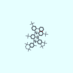 Cc1cc2c(cc1N1c3cc4c(cc3B3c5cc(C(C)(C)C)ccc5N(c5ccc(C(C)(C)C)cc5-c5ccccc5)c5cc(C(C)(C)C)cc1c53)C(C)(C)CC4(C)C)C(C)(C)CCC2(C)C